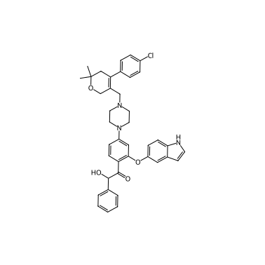 CC1(C)CC(c2ccc(Cl)cc2)=C(CN2CCN(c3ccc(C(=O)C(O)c4ccccc4)c(Oc4ccc5[nH]ccc5c4)c3)CC2)CO1